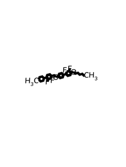 CCCCCCOc1ccc(-c2ccc(OCc3ccc(C4CCC(C)CC4)c(F)c3F)cc2)c(F)c1F